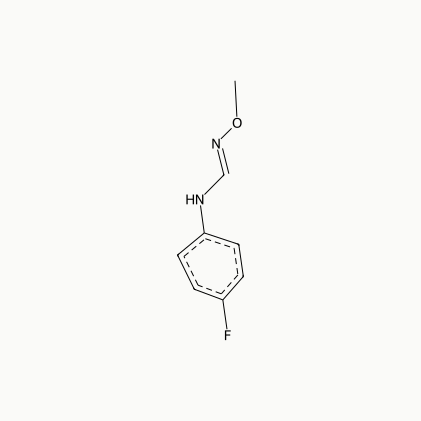 CON=CNc1ccc(F)cc1